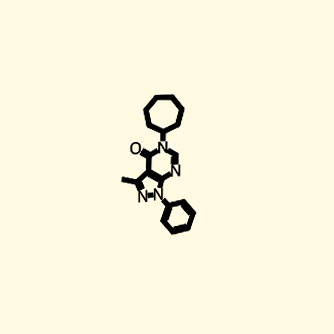 Cc1nn(-c2ccccc2)c2ncn(C3CCCCCC3)c(=O)c12